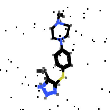 CN1CCN(c2ccc(Sc3nn[nH]c3C(=O)O)cc2)CC1